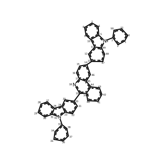 c1ccc(-n2c3ccccc3c3cc(-c4ccc5nc(-c6ccc7c(c6)c6ccccc6n7-c6ccccc6)c6ccccc6c5c4)ccc32)cc1